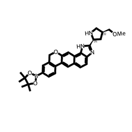 COC[C@@H]1CN[C@H](c2nc3ccc4cc5c(cc4c3[nH]2)OCc2cc(B3OC(C)(C)C(C)(C)O3)ccc2-5)C1